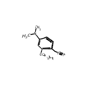 CN(C)c1ccc([N+]#N)c(C(=O)O)c1